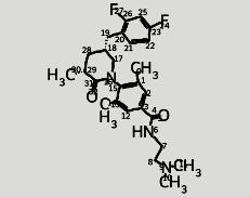 Cc1cc(C(=O)NCCN(C)C)cc(C)c1N1C[C@@H](Cc2ccc(F)cc2F)C[C@@H](C)C1=O